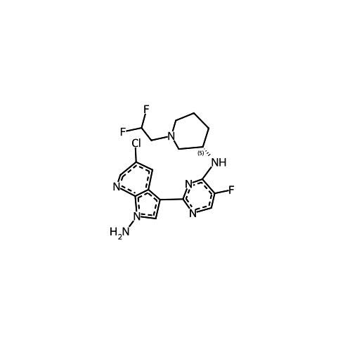 Nn1cc(-c2ncc(F)c(N[C@H]3CCCN(CC(F)F)C3)n2)c2cc(Cl)cnc21